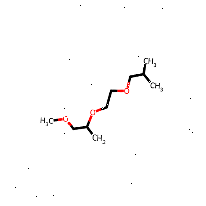 COCC(C)OCCOCC(C)C